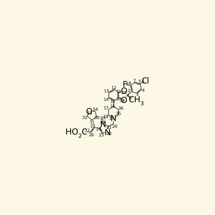 CC1(c2ccc(Cl)cc2F)Oc2cccc(C3CCN(Cc4ncc(/C=C/C(=O)O)n4C[C@@H]4CCOC4)CC3)c2O1